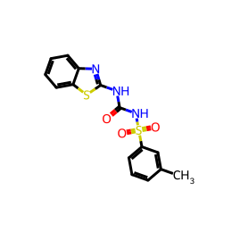 Cc1cccc(S(=O)(=O)NC(=O)Nc2nc3ccccc3s2)c1